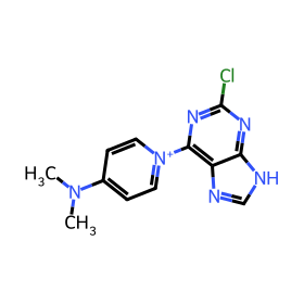 CN(C)c1cc[n+](-c2nc(Cl)nc3[nH]cnc23)cc1